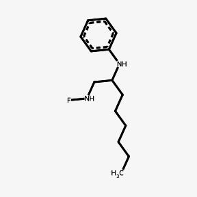 CCCCCCC(CNF)Nc1ccccc1